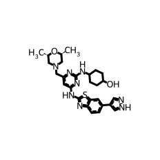 C[C@@H]1CN(Cc2cc(Nc3nc4ccc(-c5cn[nH]c5)cc4s3)nc(NC3CCC(O)CC3)n2)C[C@H](C)O1